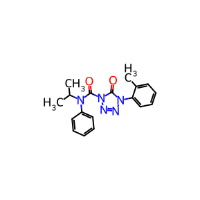 Cc1ccccc1-n1nnn(C(=O)N(c2ccccc2)C(C)C)c1=O